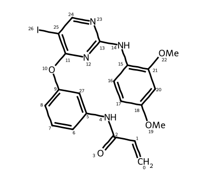 C=CC(=O)Nc1cccc(Oc2nc(Nc3ccc(OC)cc3OC)ncc2I)c1